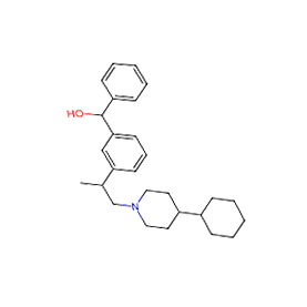 CC(CN1CCC(C2CCCCC2)CC1)c1cccc(C(O)c2ccccc2)c1